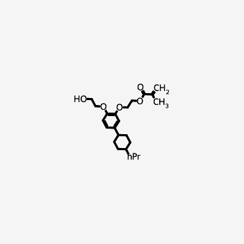 C=C(C)C(=O)OCCOc1cc(C2CCC(CCC)CC2)ccc1OCCO